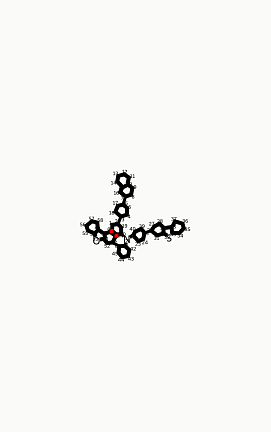 c1cc(-c2ccc(-c3ccc4ccccc4c3)cc2)cc(N(c2ccc(-c3ccc4c(c3)sc3ccccc34)cc2)c2ccccc2-c2ccc3c(c2)oc2ccccc23)c1